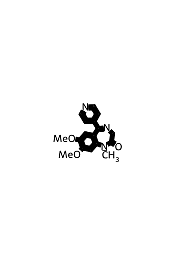 COc1cc2c(cc1OC)N(C)C(=O)CN=C2c1ccncc1